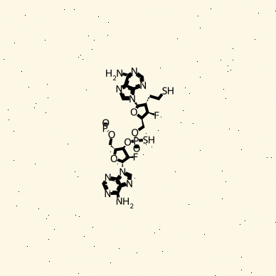 Nc1ncnc2c1ncn2[C@@H]1O[C@H](COP=O)[C@@H](OP(=O)(S)OC[C@H]2O[C@@H](n3cnc4c(N)ncnc43)[C@H](CCS)[C@H]2F)[C@H]1F